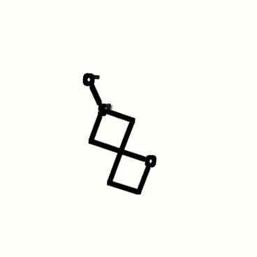 [O-][S+]1CC2(CCO2)C1